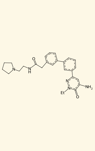 CCn1nc(-c2cccc(-c3cccc(CC(=O)NCCN4CCCC4)c3)c2)cc(N)c1=O